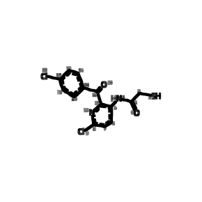 O=C(CS)Nc1ccc(Cl)nc1C(=O)c1ccc(Cl)cc1